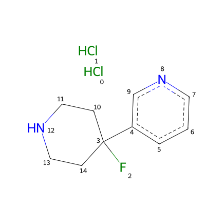 Cl.Cl.FC1(c2cccnc2)CCNCC1